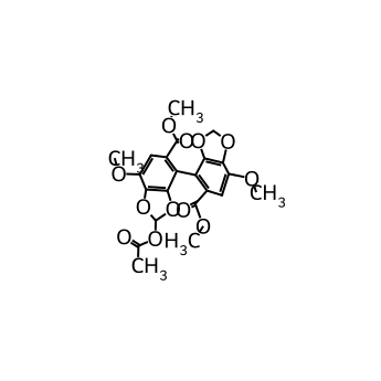 COC(=O)c1cc(OC)c2c(c1-c1c(C(=O)OC)cc(OC)c3c1OC(OC(C)=O)O3)OCO2